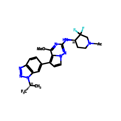 COc1nc(N[C@@H]2CCN(C(C)=O)CC2(F)F)nn2ccc(-c3ccc4nnn([C@H](C)C(F)(F)F)c4c3)c12